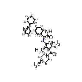 Cc1[nH]c(/C=C2\C(=O)Nc3ccc(-c4ccnn4-c4ccccc4)cc32)c(C)c1C(=O)N1CCN(C)CC1